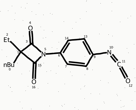 CCCCC1(CC)C(=O)N(c2ccc(N=C=O)cc2)C1=O